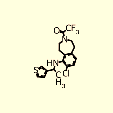 CC(Nc1c(Cl)ccc2c1CCN(C(=O)C(F)(F)F)CC2)c1ccsc1